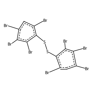 Brc1cc(Br)c(SSc2c(Br)cc(Br)c(Br)c2Br)c(Br)c1Br